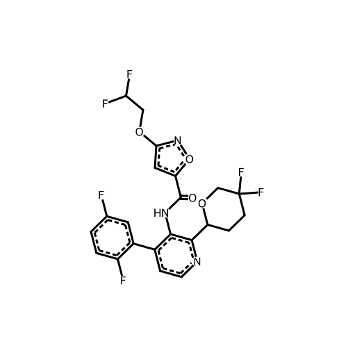 O=C(Nc1c(-c2cc(F)ccc2F)ccnc1C1CCC(F)(F)CO1)c1cc(OCC(F)F)no1